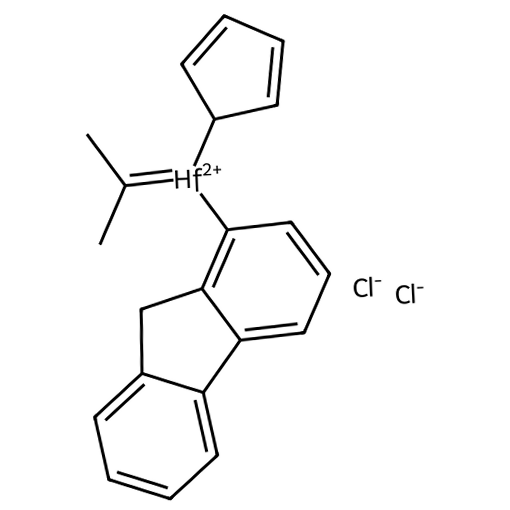 C[C](C)=[Hf+2]([c]1cccc2c1Cc1ccccc1-2)[CH]1C=CC=C1.[Cl-].[Cl-]